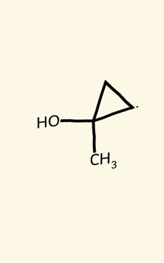 CC1(O)[CH]C1